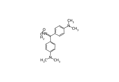 C=O.CN(C)c1ccc(C(=N)c2ccc(N(C)C)cc2)cc1